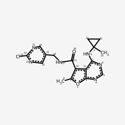 Cc1oc2ncnc(NC3(C)CC3)c2c1C(=O)NCc1cnc(Cl)nc1